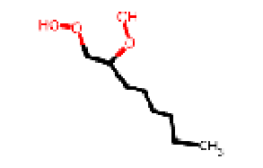 CCCCCCC(COO)OO